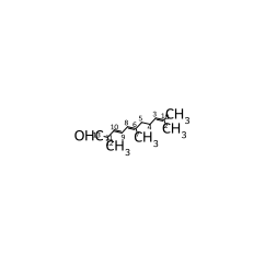 CC(C)=CCC/C(C)=C/C=C/C(C)C=O